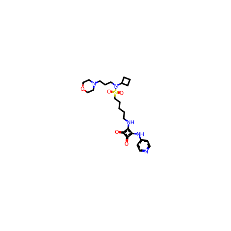 O=c1c(NCCCCCS(=O)(=O)N(CCCN2CCOCC2)C2CCC2)c(Nc2ccncc2)c1=O